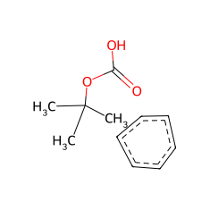 CC(C)(C)OC(=O)O.c1ccccc1